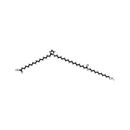 CCCCCCCCCCCCOC(=O)CCCCCCCCCCCCCCCCCN1CCN=C1CCCCCCCCCCCCCCCCC(=O)O